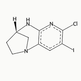 Clc1nc2c(cc1I)N1CC[C@@H](C1)N2